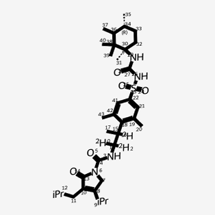 [2H]C([2H])(NC(=O)N1CC(C(C)C)=C(CC(C)C)C1=O)C([2H])(C)c1c(C)cc(S(=O)(=O)NC(=O)N[C@]2(C)CC[C@@H](C)C(C)C2(C)C)cc1C